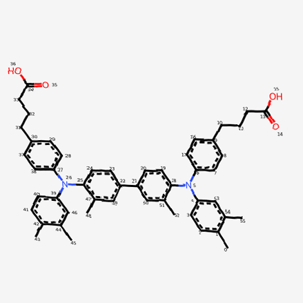 Cc1ccc(N(c2ccc(CCCC(=O)O)cc2)c2ccc(-c3ccc(N(c4ccc(CCCC(=O)O)cc4)c4ccc(C)c(C)c4)c(C)c3)cc2C)cc1C